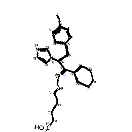 Cc1ccc(CC(/C(=N/OCCCCC(=O)O)C2CCCCC2)n2ccnc2)cc1